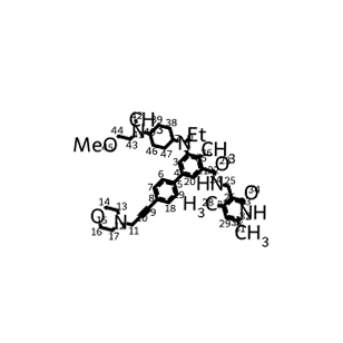 CCN(c1cc(-c2ccc(C#CCN3CCOCC3)cc2)cc(C(=O)NCc2c(C)cc(C)[nH]c2=O)c1C)C1CCC(N(C)CCOC)CC1